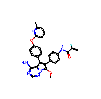 C=C(F)C(=O)Nc1ccc(-c2c(-c3ccc(Oc4cccc(C)n4)cc3)c3c(N)ncnn3c2OC)cc1